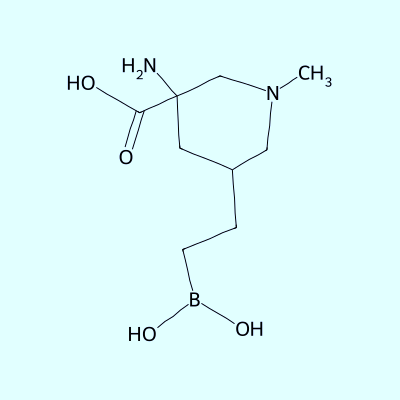 CN1CC(CCB(O)O)CC(N)(C(=O)O)C1